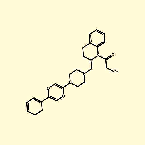 CC(C)CC(=O)N1c2ccccc2CCC1CN1CCN(C2=COC(C3=CC=CCC3)=CO2)CC1